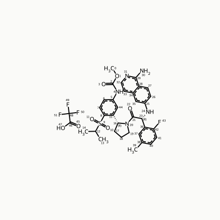 COC(=O)Nc1ccc(S(=O)(=O)C(C)C)c([C@H]2CCCN2C(=O)[C@H](Nc2ccc3c(N)nccc3c2)c2cc(C)ccc2F)c1.O=C(O)C(F)(F)F